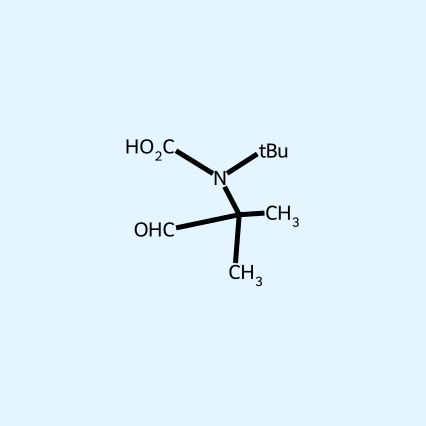 CC(C)(C)N(C(=O)O)C(C)(C)C=O